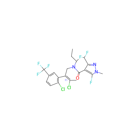 CCC(C)N(C/C(=C(\C)Cl)c1cc(C(F)(F)F)ccc1Cl)C(=O)c1c(C(F)F)nn(C)c1F